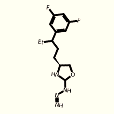 CCC(CC[C@H]1COC(NN=N)N1)c1cc(F)cc(F)c1